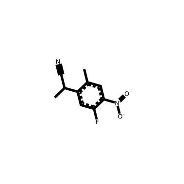 Cc1cc([N+](=O)[O-])c(F)cc1C(C)C#N